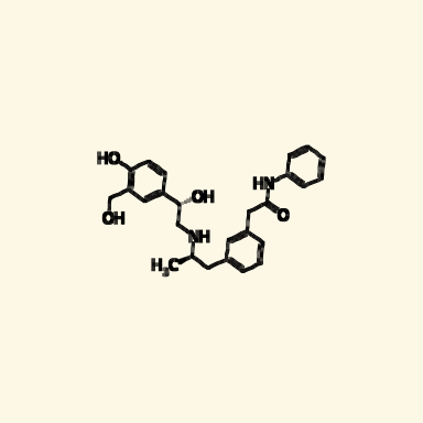 C[C@H](Cc1cccc(CC(=O)Nc2ccccc2)c1)NC[C@@H](O)c1ccc(O)c(CO)c1